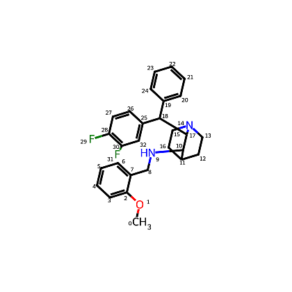 COc1ccccc1CNC1C2CCN(CC2)C1C(c1ccccc1)c1ccc(F)c(F)c1